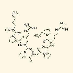 N=C(N)NCCC[C@H](NC(=O)[C@@H]1CCCN1C(=O)CNC(=O)[C@@H]1CCCN1C(=O)[C@H](CCCNC(=N)N)NC(=O)[C@@H]1CCCN1C(=O)[C@@H](N)CCCCN)C(=O)N1CCC[C@H]1C(=O)O